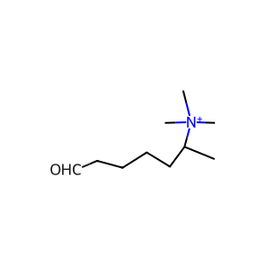 CC(CCCCC=O)[N+](C)(C)C